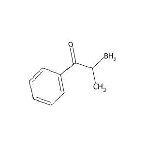 BC(C)C(=O)c1ccccc1